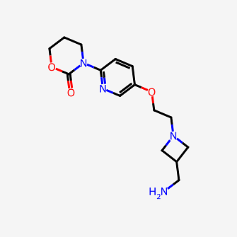 NCC1CN(CCOc2ccc(N3CCCOC3=O)nc2)C1